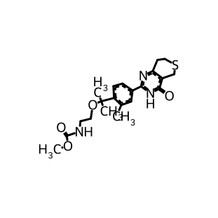 COC(=O)NCCOC(C)(C)c1ccc(-c2nc3c(c(=O)[nH]2)CSCC3)cc1C